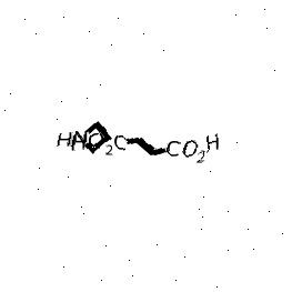 C1CNC1.O=C(O)C=CC(=O)O